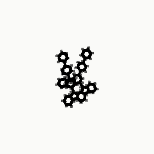 c1ccc(-c2ccc(-c3ccc(-n4c5ccccc5c5ccc6c7ccccc7n(-c7cc(-c8ccc(-c9ccccc9)cc8)nc(-c8ccccc8)n7)c6c54)cc3)cc2)cc1